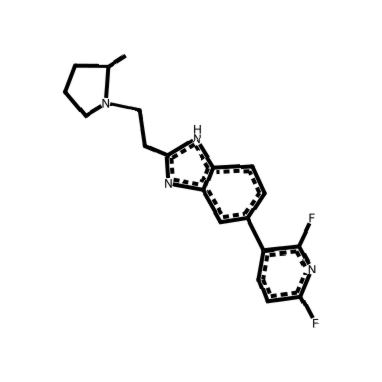 CC1CCCN1CCc1nc2cc(-c3ccc(F)nc3F)ccc2[nH]1